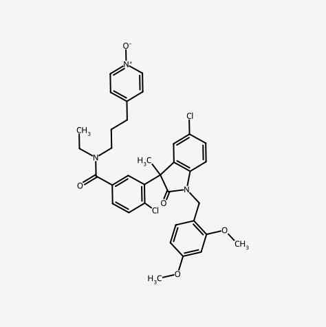 CCN(CCCc1cc[n+]([O-])cc1)C(=O)c1ccc(Cl)c(C2(C)C(=O)N(Cc3ccc(OC)cc3OC)c3ccc(Cl)cc32)c1